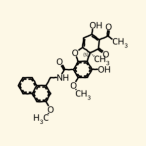 COc1cc(CNC(=O)c2c(OC)cc(O)c3c2OC2=CC(O)=C(C(C)=O)C(=O)[C@]23C)c2ccccc2c1